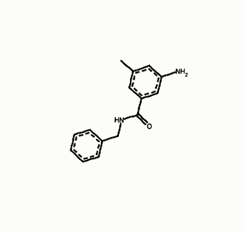 Cc1cc(N)cc(C(=O)NCc2ccccc2)c1